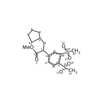 COC(=O)C(CC1CCCC1)c1ccc(S(C)(=O)=O)c(S(C)(=O)=O)c1